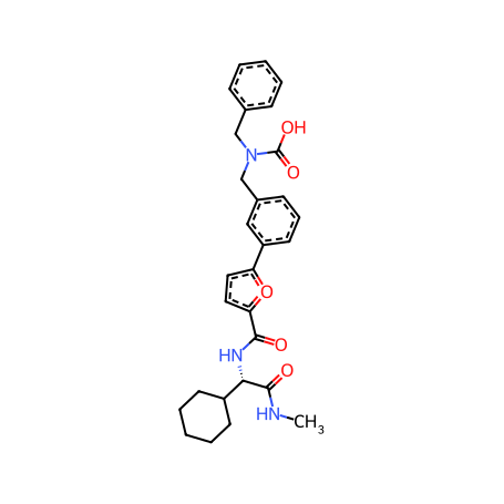 CNC(=O)[C@@H](NC(=O)c1ccc(-c2cccc(CN(Cc3ccccc3)C(=O)O)c2)o1)C1CCCCC1